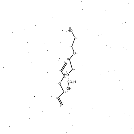 C=CCOCC=C.O=C(O)O.OCCOCCO